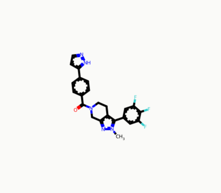 Cn1nc2c(c1-c1cc(F)c(F)c(F)c1)CCN(C(=O)c1ccc(-c3ccn[nH]3)cc1)C2